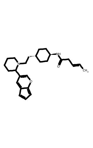 CC=CCC(=O)N[C@H]1CC[C@H](CCN2CCCCC2c2coc3cccc-3c2)CC1